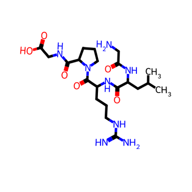 CC(C)CC(NC(=O)CN)C(=O)NC(CCCNC(=N)N)C(=O)N1CCCC1C(=O)NCC(=O)O